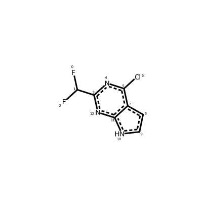 FC(F)c1nc(Cl)c2cc[nH]c2n1